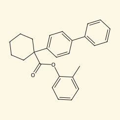 Cc1ccccc1OC(=O)C1(c2ccc(-c3ccccc3)cc2)CCCCC1